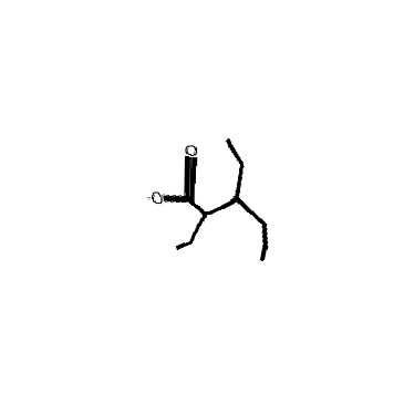 CCC(CC)C(CC)C([O])=O